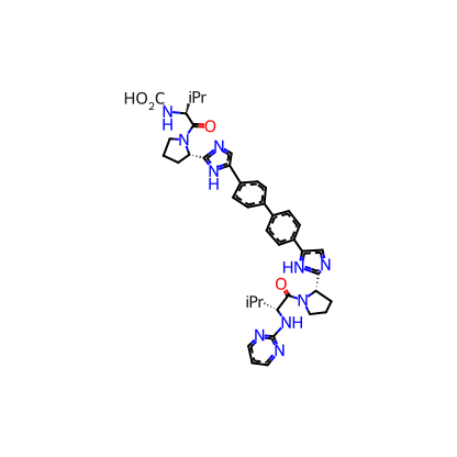 CC(C)[C@H](NC(=O)O)C(=O)N1CCC[C@H]1c1ncc(-c2ccc(-c3ccc(-c4cnc([C@@H]5CCCN5C(=O)[C@H](Nc5ncccn5)C(C)C)[nH]4)cc3)cc2)[nH]1